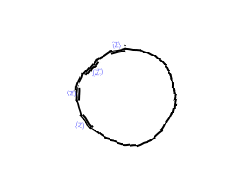 [C]1=C/C=C\C=C/C=C\CCCCCCCCCCC\1